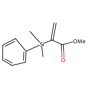 C=C(C(=O)OC)[Si](C)(C)c1ccccc1